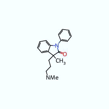 CNCCCC1(C)C(=O)N(c2ccccc2)c2ccccc21